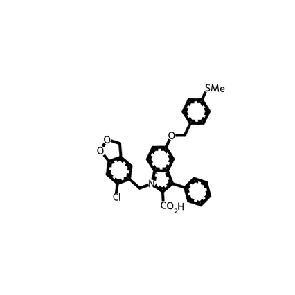 CSc1ccc(COc2ccc3c(c2)c(-c2ccccc2)c(C(=O)O)n3Cc2cc3c(cc2Cl)OOC3)cc1